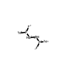 [3H]P(F)BBP([3H])F